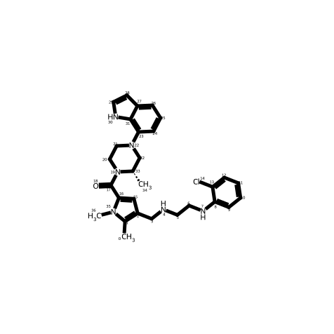 Cc1c(CNCCNc2ccccc2Cl)cc(C(=O)N2CCN(c3cccc4cc[nH]c34)C[C@@H]2C)n1C